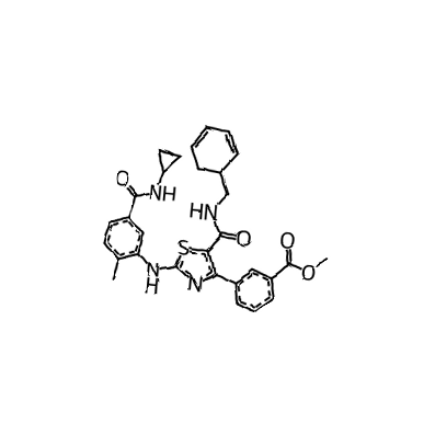 COC(=O)c1cccc(-c2nc(Nc3cc(C(=O)NC4CC4)ccc3C)sc2C(=O)NCC2C=CC=CC2)c1